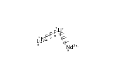 [F-].[F-].[F-].[F-].[F-].[F-].[F-].[Li+].[Lu+3].[Nd+3]